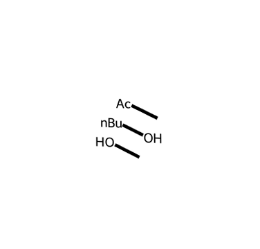 CC(C)=O.CCCCO.CO